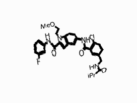 COCCn1c(C(=O)Nc2cccc(F)c2)cc2cc(NC(=O)c3cc(CNC(=O)C(C)C)ccc3Cl)ccc21